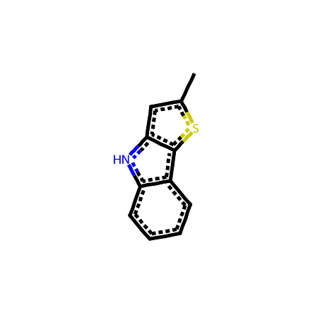 Cc1cc2[nH]c3ccccc3c2s1